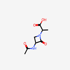 CC(=O)NC1CN(C(C)C(=O)O)C1=O